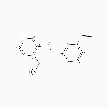 C=Cc1cccc(COc2ccccc2CN)c1